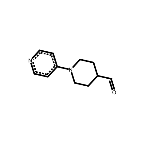 O=[C]C1CCN(c2ccncc2)CC1